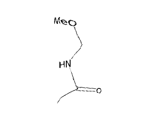 [CH2]OCNC(C)=O